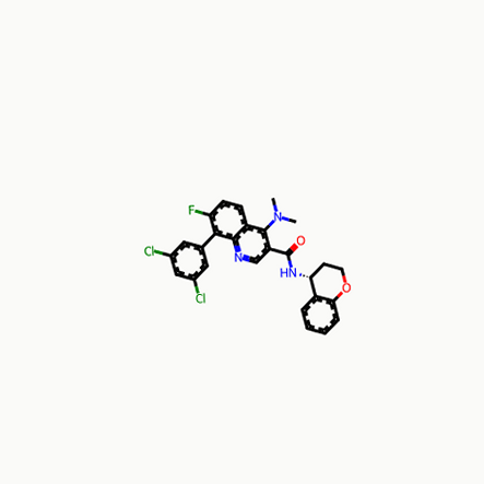 CN(C)c1c(C(=O)N[C@@H]2CCOc3ccccc32)cnc2c(-c3cc(Cl)cc(Cl)c3)c(F)ccc12